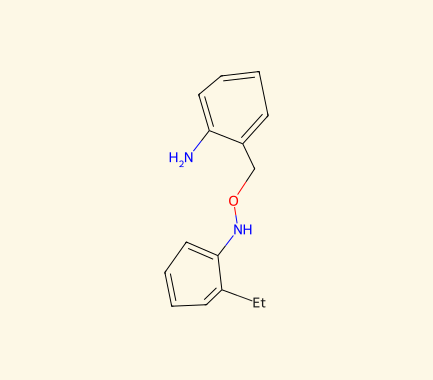 CCc1ccccc1NOCc1ccccc1N